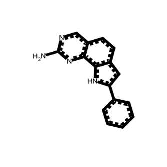 Nc1ncc2ccc3cc(-c4ccccc4)[nH]c3c2n1